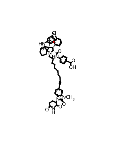 Cn1c(=O)n(C2CCC(=O)NC2=O)c2ccc(C#CCCCCCCCCN3[C@@H](C(=O)Nc4ccc(C(=O)O)cc4)[C@H](c4cccc(Cl)c4F)[C@]4(C(=O)Nc5cc(Cl)ccc54)C34CCCCC4)cc21